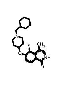 Cc1c[nH]c(=O)c2ccc(OC3CCN(CC4CCCCC4)CC3)c(F)c12